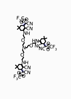 CC1(C)CC(NCCOCCN(CCOCCNC2=C(C#N)/C(=C(\C#N)S(=O)(=O)C(F)(F)F)CC(C)(C)C2)CCOCCNC2=C(C#N)/C(=C(\C#N)S(=O)(=O)C(F)(F)F)CC(C)(C)C2)=C(C#N)/C(=C(\C#N)S(=O)(=O)C(F)(F)F)C1